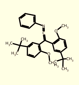 COc1ccc(C(C)(C)C)cc1C(=C=Nc1ccccc1)c1cc(C(C)(C)C)ccc1OC